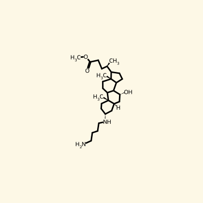 COC(=O)CC[C@@H](C)C1CCC2C3C(CC[C@@]21C)[C@@]1(C)CC[C@@H](NCCCCN)C[C@@H]1C[C@H]3O